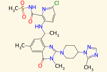 Cc1cc([C@@H](C)Nc2ccc(Cl)nc2C(=O)NS(C)(=O)=O)c2nc(N3CCC(n4ncnc4C)CC3)n(C)c(=O)c2c1